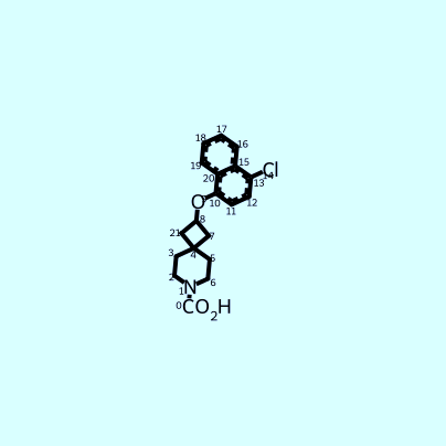 O=C(O)N1CCC2(CC1)CC(Oc1ccc(Cl)c3ccccc13)C2